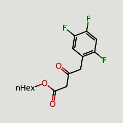 CCCCCCOC(=O)CC(=O)Cc1cc(F)c(F)cc1F